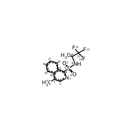 Cc1cnc(S(=O)(=O)N[C@@H](C)C(F)(F)F)c2ccccc12